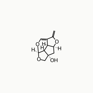 C=C1O[C@H]2C[C@@]3(O)CO[C@H]4OC=C1[C@@H]2[C@H]43